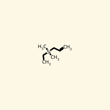 C=CC[Si](C)(C)CC